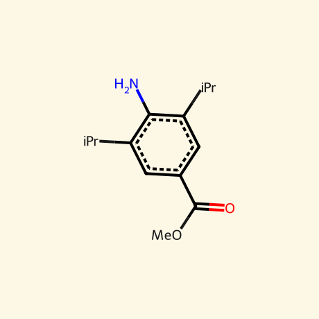 COC(=O)c1cc(C(C)C)c(N)c(C(C)C)c1